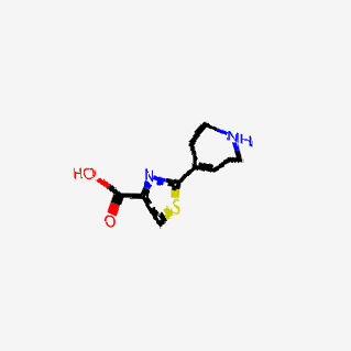 O=C(O)c1csc(C2=CCNCC2)n1